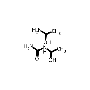 CC(N)O.CC(O)NC(N)=O